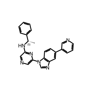 C[C@H](Nc1cncc(-n2cnc3cc(-c4cccnc4)ccc32)n1)c1ccccc1